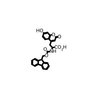 O=C(NC(Cc1cc(=O)oc2cc(O)ccc12)C(=O)O)OCC1c2ccccc2-c2ccccc21